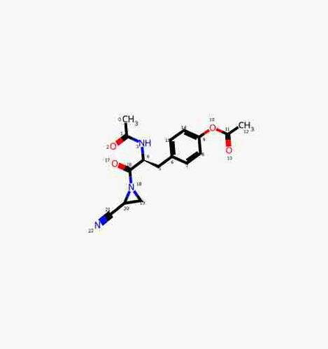 CC(=O)N[C@@H](Cc1ccc(OC(C)=O)cc1)C(=O)N1CC1C#N